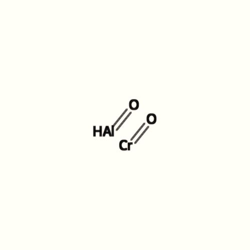 [O]=[AlH].[O]=[Cr]